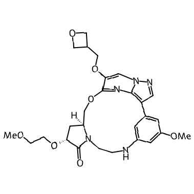 COCCO[C@@H]1C[C@H]2COc3nc4c(cnn4cc3OCC3COC3)-c3cc(cc(OC)c3)NCCN2C1=O